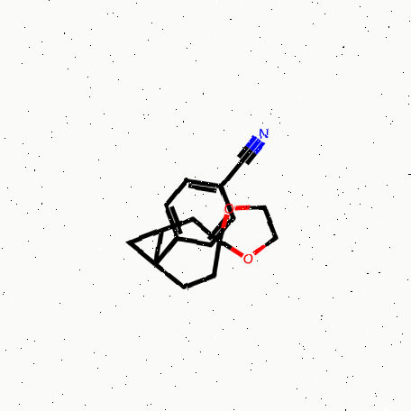 N#Cc1ccc(C23CCC4(CC2C3)OCCO4)cc1